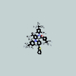 Cc1cc(C(C)(C)C)cc(C)c1N1c2cc(-c3cc4ccccc4s3)ccc2B2c3c1cc(C(C)C)cc3N(c1c(C)cc(C(C)(C)C)cc1C)c1oc3ccc(C(C)(C)C)cc3c12